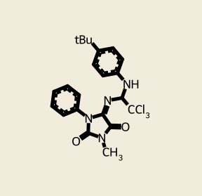 CN1C(=O)C(=NC(Nc2ccc(C(C)(C)C)cc2)C(Cl)(Cl)Cl)N(c2ccccc2)C1=O